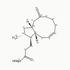 CCCCCCCC(=O)CC[C@@H]1[C@H]2C/C=C\CCCC(=O)C[C@H]2C[C@H]1C